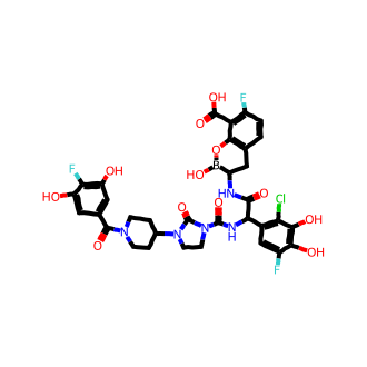 O=C(O)c1c(F)ccc2c1OB(O)C(NC(=O)C(NC(=O)N1CCN(C3CCN(C(=O)c4cc(O)c(F)c(O)c4)CC3)C1=O)c1cc(F)c(O)c(O)c1Cl)C2